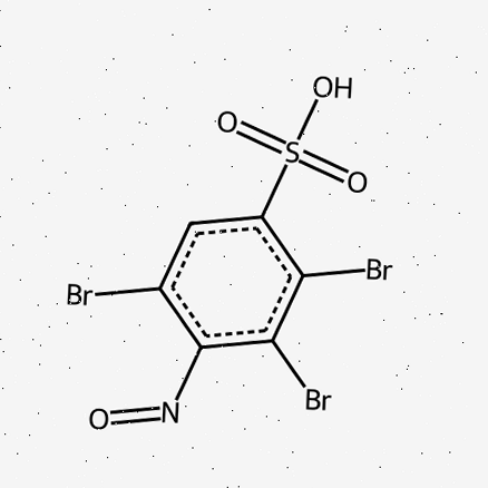 O=Nc1c(Br)cc(S(=O)(=O)O)c(Br)c1Br